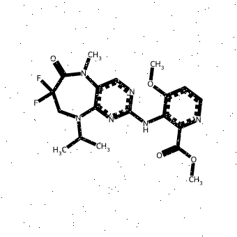 COC(=O)c1nccc(OC)c1Nc1ncc2c(n1)N(C(C)C)CC(F)(F)C(=O)N2C